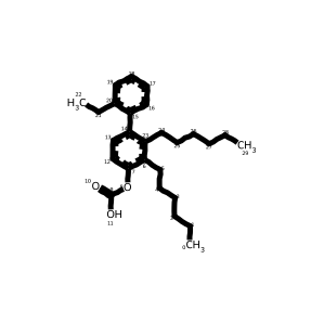 CCCCCCc1c(OC(=O)O)ccc(-c2ccccc2CC)c1CCCCCC